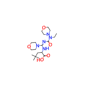 CCN(C(=O)N=C(NC(CC(C)(C)C)C(=O)O)N1CCOCC1)N1CCOCC1